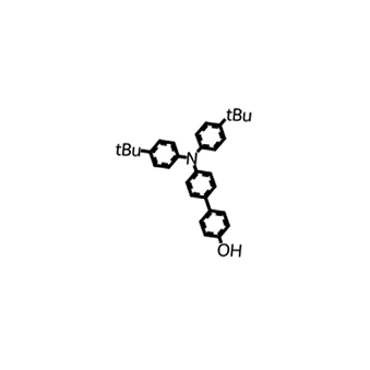 CC(C)(C)c1ccc(N(c2ccc(-c3ccc(O)cc3)cc2)c2ccc(C(C)(C)C)cc2)cc1